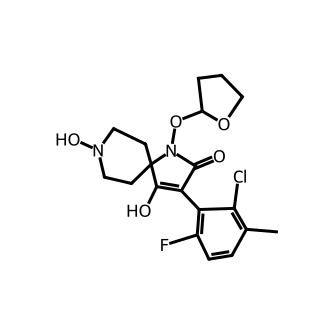 Cc1ccc(F)c(C2=C(O)C3(CCN(O)CC3)N(OC3CCCO3)C2=O)c1Cl